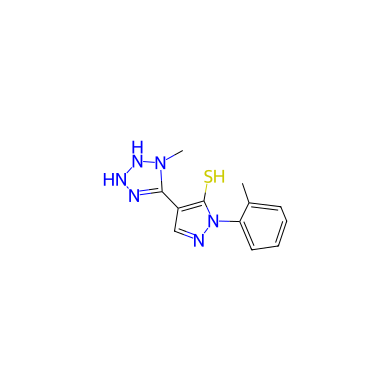 Cc1ccccc1-n1ncc(C2=NNNN2C)c1S